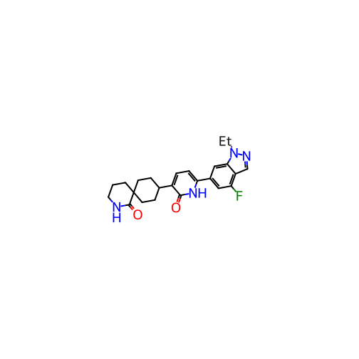 CCn1ncc2c(F)cc(-c3ccc(C4CCC5(CCCNC5=O)CC4)c(=O)[nH]3)cc21